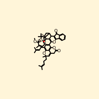 COC(=O)/C(C)=C\CC12OC(C)(C)C3CC(C1=O)C1C4=C(OC5=C1C32Oc1c(CC=C(C)C)c2c3c(c15)OC(=O)CC3=CC(C)(CCC=C(C)C)O2)c1ccccc1C4=O